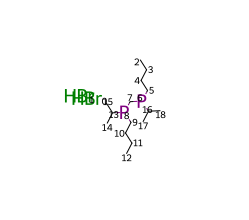 Br.Br.CCCCP(CP(CCCC)C(C)C)C(C)C